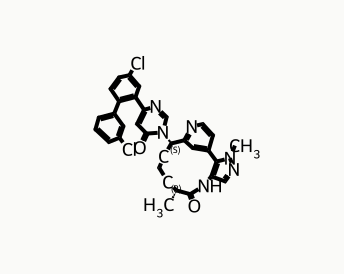 C[C@@H]1CCC[C@H](n2cnc(-c3cc(Cl)ccc3-c3cccc(Cl)c3)cc2=O)c2cc(ccn2)-c2c(cnn2C)NC1=O